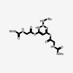 CCCCNN1N=C(SC(=O)CNC(=O)NC)C=C(SC(=O)CNC(=O)NC)N1